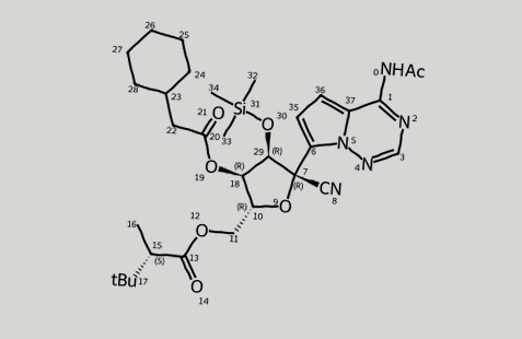 CC(=O)Nc1ncnn2c([C@]3(C#N)O[C@H](COC(=O)[C@@H](C)C(C)(C)C)[C@@H](OC(=O)CC4CCCCC4)[C@H]3O[Si](C)(C)C)ccc12